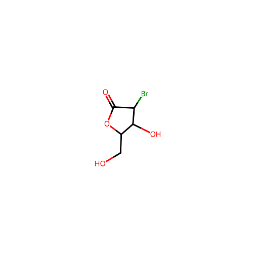 O=C1OC(CO)C(O)C1Br